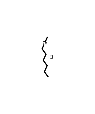 CCCCC[CH2][Zn][CH3].Cl